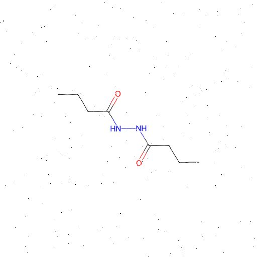 CCCC(=O)NNC(=O)CCC